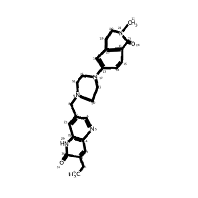 CCc1cc2ncc(CN3CCN(c4ccc5c(c4)CCN(C)C5=O)CC3)cc2[nH]c1=O